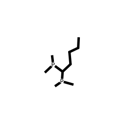 CCCCC(P(C)C)P(C)C